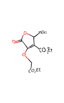 CCCCCCCCC1OC(=O)C(OCC(=O)OCC)=C1C(=O)OCC